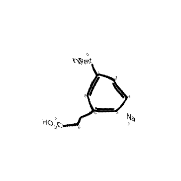 CCCCCc1cccc(CC(=O)O)c1.[Na]